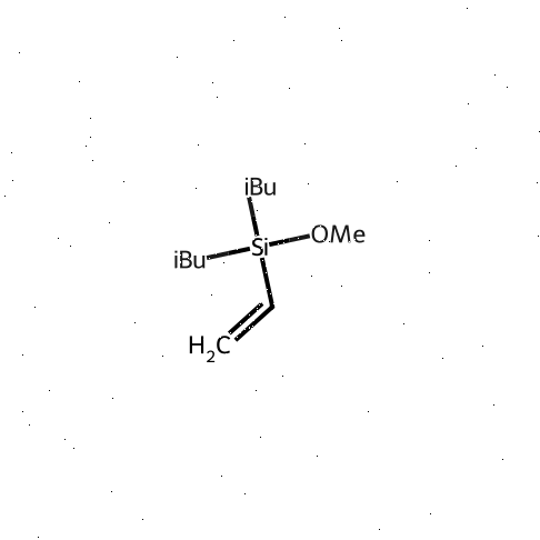 C=C[Si](OC)(C(C)CC)C(C)CC